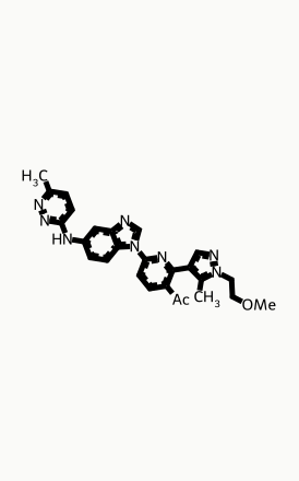 COCCn1ncc(-c2nc(-n3cnc4cc(Nc5ccc(C)nn5)ccc43)ccc2C(C)=O)c1C